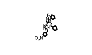 O=[N+]([O-])c1ccc(Cn2nnc(-c3cnn(-c4ccccc4F)c3SCc3ccccc3)n2)cc1